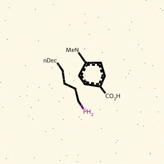 CCCCCCCCCCCCCCP.CNc1ccc(C(=O)O)cc1